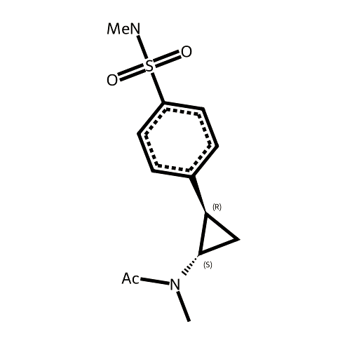 CNS(=O)(=O)c1ccc([C@H]2C[C@@H]2N(C)C(C)=O)cc1